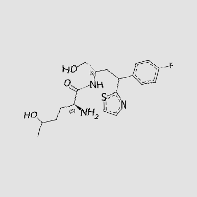 CC(O)CC[C@H](N)C(=O)N[C@H](CO)CC(c1ccc(F)cc1)c1nccs1